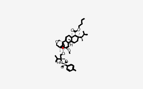 CCCCOC(=O)[C@@H]1[C@@](C)([C@H](C)C(C)C)CC[C@]2(C)[C@H]3CC[C@@H]4[C@@]5(COC[C@]4(C)[C@@H](OC[C@](C)(NS(=O)(=O)c4ccc(C)cc4)C(C)C)[C@H](OC)C5)C3=CC[C@@]12C